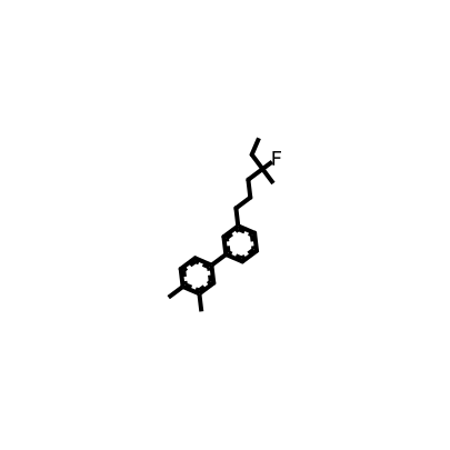 CCC(C)(F)CCCc1cccc(-c2ccc(C)c(C)c2)c1